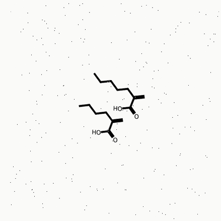 C=C(CCCC)C(=O)O.C=C(CCCCC)C(=O)O